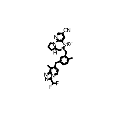 Cc1ccc(Cc2ccn3c(C(F)F)nnc3c2C)cc1CN1C[C@@H]2CCCN2c2ncc(C#N)cc2[S+]1[O-]